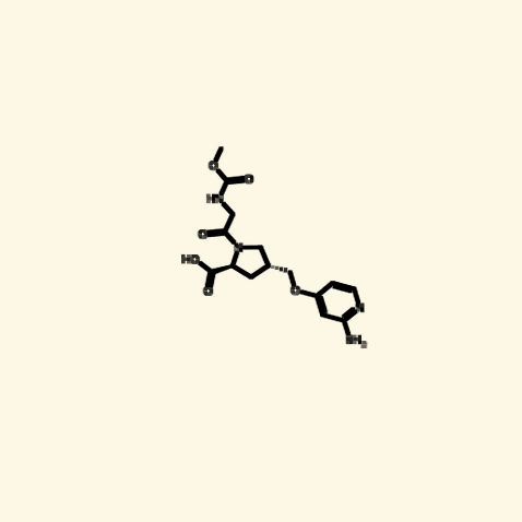 Bc1cc(OC[C@@H]2C[C@@H](C(=O)O)N(C(=O)CNC(=O)OC)C2)ccn1